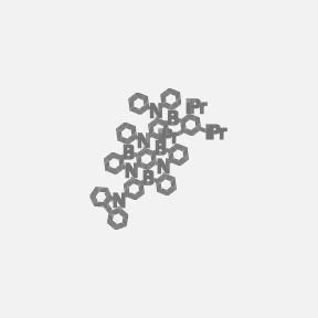 CC(C)c1cc(C(C)C)c(B2c3ccccc3N(c3ccccc3)c3cc4c(cc32)B2c3ccccc3N3c5ccccc5B5c6ccc(-n7c8ccccc8c8ccccc87)cc6N6c7ccccc7B7c8ccccc8N4c4c2c3c5c6c47)c(C(C)C)c1